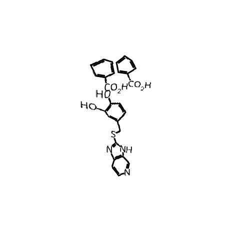 O=C(O)c1ccccc1.O=C(O)c1ccccc1.Oc1ccc(CSc2nc3ccncc3[nH]2)cc1O